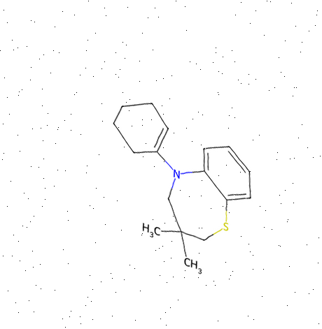 CC1(C)CSc2ccccc2N(C2=CCCCC2)C1